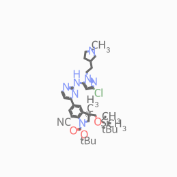 CN1CCC(CCn2nc(Cl)cc2Nc2nccc(-c3cc(C#N)c4c(c3)[C@@](C)(CO[Si](C)(C)C(C)(C)C)CN4C(=O)OC(C)(C)C)n2)C1